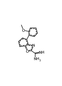 COc1ccccc1-c1cccc2oc(C(=N)N)nc12